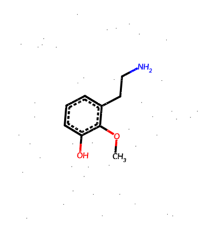 COc1c(O)cccc1CCN